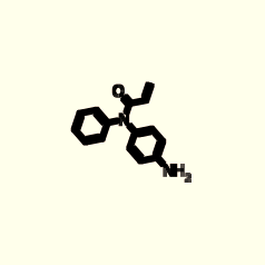 C=CC(=O)N(c1ccccc1)c1ccc(N)cc1